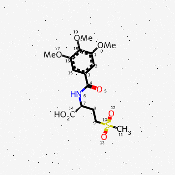 COc1cc(C(=O)N[C@@H](CCS(C)(=O)=O)C(=O)O)cc(OC)c1OC